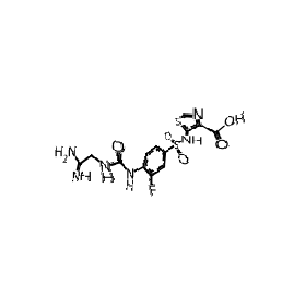 N=C(N)CNC(=O)Nc1ccc(S(=O)(=O)Nc2scnc2C(=O)O)cc1F